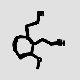 COc1cccc(CCO)c1CCO